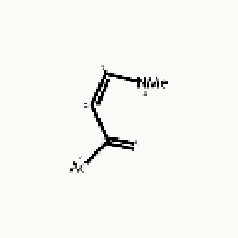 C=C(/C=C\NC)C(C)=O